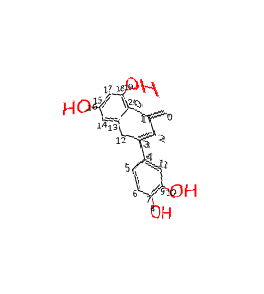 C=C1C=C(c2ccc(O)c(O)c2)Cc2cc(O)cc(O)c21